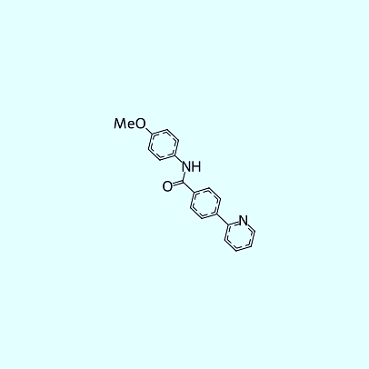 COc1ccc(NC(=O)c2ccc(-c3ccccn3)cc2)cc1